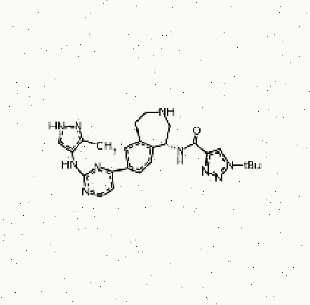 Cc1n[nH]cc1Nc1nccc(-c2ccc3c(c2)CCNC[C@@H]3NC(=O)c2cn(C(C)(C)C)nn2)n1